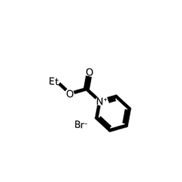 CCOC(=O)[n+]1ccccc1.[Br-]